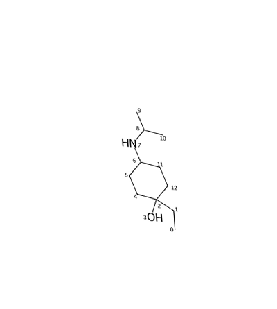 CCC1(O)CCC(NC(C)C)CC1